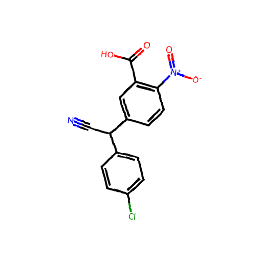 N#CC(c1ccc(Cl)cc1)c1ccc([N+](=O)[O-])c(C(=O)O)c1